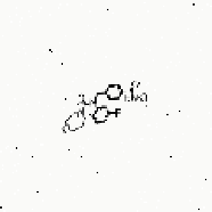 O=C(NOI)c1ccc(CN(C(=O)N2CCCOCC2)c2cccc(F)c2)cc1